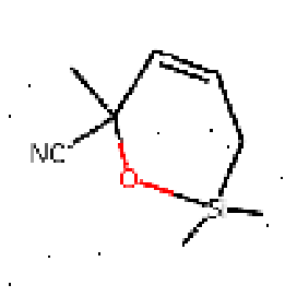 CC1(C#N)C=CC[Si](C)(C)O1